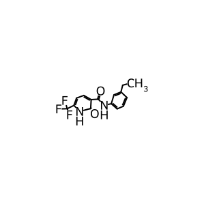 CCc1cccc(NC(=O)c2ccc(C(F)(F)F)[nH]c2=O)c1